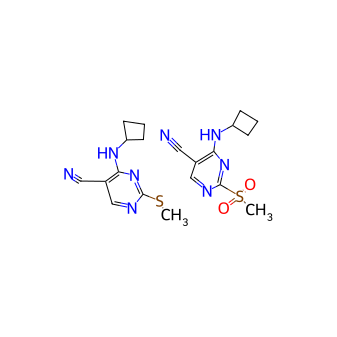 CS(=O)(=O)c1ncc(C#N)c(NC2CCC2)n1.CSc1ncc(C#N)c(NC2CCC2)n1